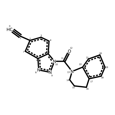 C#Cc1ccc2c(c1)nnn2C(=O)N1CCCc2ccccc21